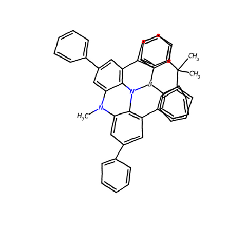 CN1c2cc(-c3ccccc3)cc(-c3ccccc3)c2N(B2c3ccccc3C(C)(C)c3ccccc32)c2c(-c3ccccc3)cc(-c3ccccc3)cc21